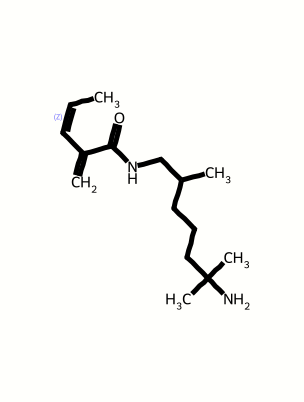 C=C(/C=C\C)C(=O)NCC(C)CCCC(C)(C)N